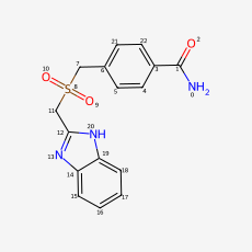 NC(=O)c1ccc(CS(=O)(=O)Cc2nc3ccccc3[nH]2)cc1